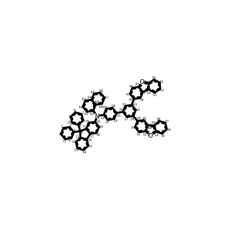 c1ccc(C2(c3ccccc3)c3ccccc3-c3ccc(N(c4ccc(-c5cc(-c6ccc7oc8ccccc8c7c6)cc(-c6ccc7oc8ccccc8c7c6)c5)cc4)c4cccc5ccccc45)cc32)cc1